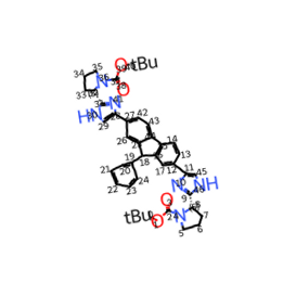 CC(C)(C)OC(=O)N1CCC[C@H]1c1nc(-c2ccc3c(c2)C(c2ccccc2)c2cc(-c4c[nH]c([C@@H]5CCCN5C(=O)OC(C)(C)C)n4)ccc2-3)c[nH]1